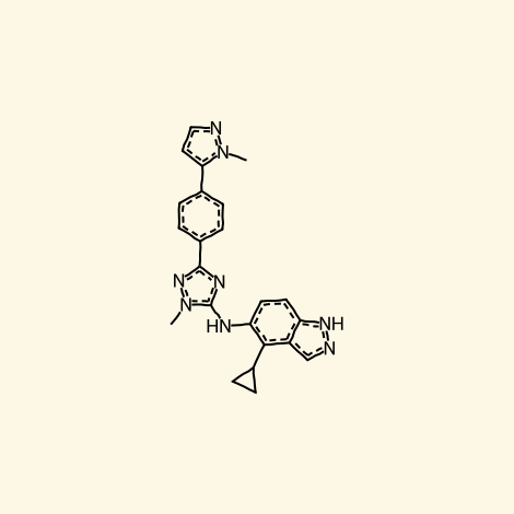 Cn1nccc1-c1ccc(-c2nc(Nc3ccc4[nH]ncc4c3C3CC3)n(C)n2)cc1